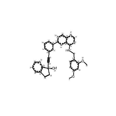 COc1ccc(CNc2ncnc3cnc(-c4cccc(C#C[C@]5(O)CCc6cccnc65)c4)nc23)c(OC)c1